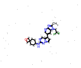 Cc1nc2ncc(-c3ccn4nc(NC5CCC6(CC5)COC6)ncc34)cc2n1CC(F)F